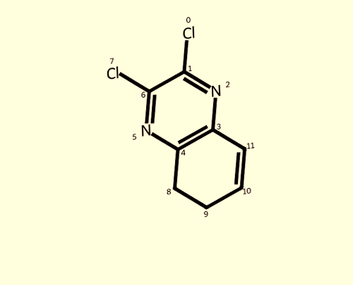 Clc1nc2c(nc1Cl)CCC=C2